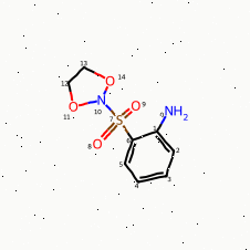 Nc1ccccc1S(=O)(=O)N1OCCO1